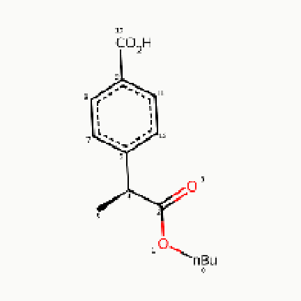 CCCCOC(=O)[C@@H](C)c1ccc(C(=O)O)cc1